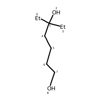 CCC(O)(CC)CCCCO